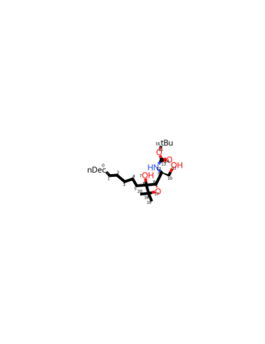 CCCCCCCCCCCCCCCC1(O)[C@H]([C@H](CO)NC(=O)OC(C)(C)C)OC1(C)C